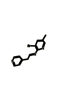 Cc1cnc(N=CCc2ccncc2)c(Br)c1